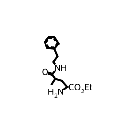 CCOC(=O)C(N)CC(C)C(=O)NCCc1ccccc1